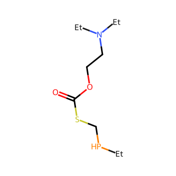 CCPCSC(=O)OCCN(CC)CC